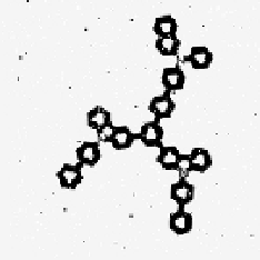 c1ccc(-c2ccc(-n3c4ccccc4c4cc(-c5cc(-c6ccc(-c7ccc(N(c8ccccc8)c8ccc9ccccc9c8)cc7)cc6)cc(-c6ccc7c(c6)c6ccccc6n7-c6ccc(-c7ccccc7)cc6)c5)ccc43)cc2)cc1